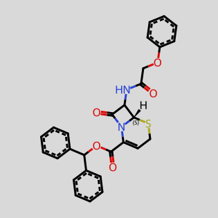 O=C(COc1ccccc1)NC1C(=O)N2C(C(=O)OC(c3ccccc3)c3ccccc3)=CCS[C@@H]12